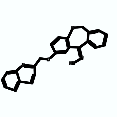 O/N=C1/c2ccccc2COc2ccc(OCc3ccc4ccccc4n3)cc21